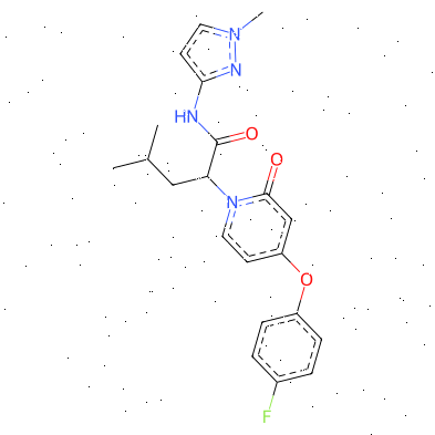 CC(C)CC(C(=O)Nc1ccn(C)n1)n1ccc(Oc2ccc(F)cc2)cc1=O